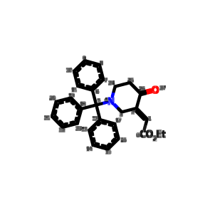 CCOC(=O)C=C1CN(C(c2ccccc2)(c2ccccc2)c2ccccc2)CCC1=O